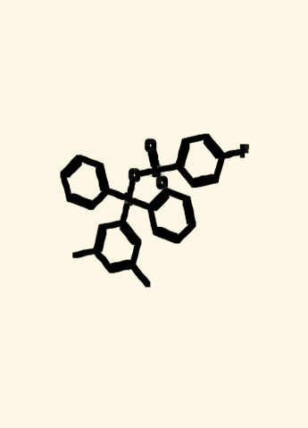 Cc1cc(C)cc(S(OS(=O)(=O)c2ccc(F)cc2)(c2ccccc2)c2ccccc2)c1